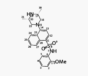 COc1ccccc1NS(=O)(=O)c1ccc(N2C[C@@H](C)N[C@@H](C)C2)c2ccccc12